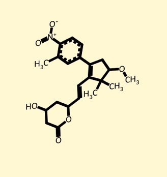 COC1CC(c2ccc([N+](=O)[O-])c(C)c2)=C(C=CC2CC(O)CC(=O)O2)C1(C)C